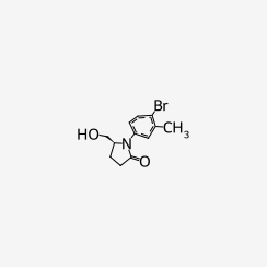 Cc1cc(N2C(=O)CC[C@H]2CO)ccc1Br